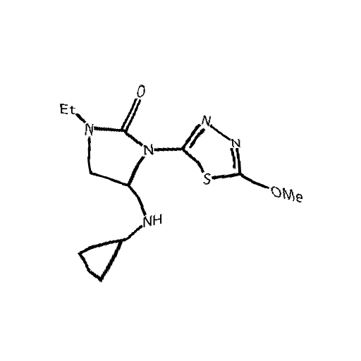 CCN1CC(NC2CC2)N(c2nnc(OC)s2)C1=O